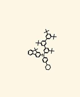 CC(C)(C)c1cc(-c2cc(N(c3ccc(C4CCCCC4)cc3)c3ccc4c(c3)C(C)(C)c3ccccc3-4)cc(C(C)(C)C)c2)cc(-c2cc(C(C)(C)C)cc(C(C)(C)C)c2)c1